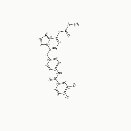 COC(=O)Cc1cnc(Cc2ccc(NC(=O)c3ccc(Cl)c(Cl)c3)cc2)n2ccnc12